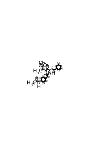 COC(=O)[C@H](C)NC(=O)[C@@H](CCc1ccccc1)NCCc1ccc(NC(C)=O)cc1